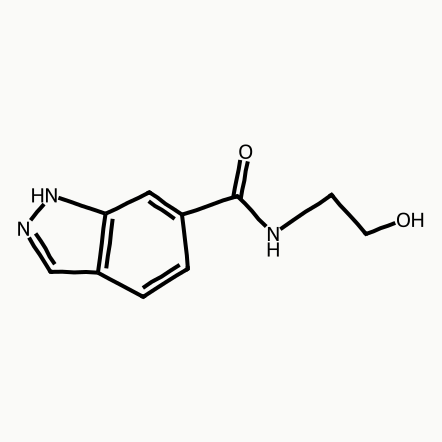 O=C(NCCO)c1ccc2cn[nH]c2c1